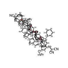 CCCOc1cc(N=C(C#N)C#N)sc1C1=Cc2sc3c(c2C1(C(=O)OCc1ccccc1)C(=O)OCc1ccccc1)C(C(=O)OCc1ccccc1)(C(=O)OCc1ccccc1)c1c-3sc2c1C(C(=O)OCc1ccccc1)(C(=O)OCc1ccccc1)C(c1sc(N=C(C#N)C#N)cc1OCCC)=C2